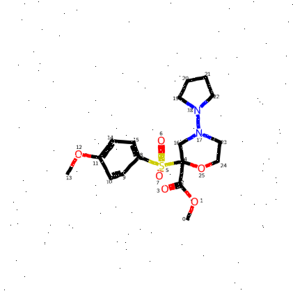 COC(=O)C1(S(=O)(=O)c2ccc(OC)cc2)CN(N2CCCC2)CCO1